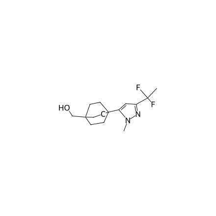 Cn1nc(C(C)(F)F)cc1C12CCC(CO)(CC1)CC2